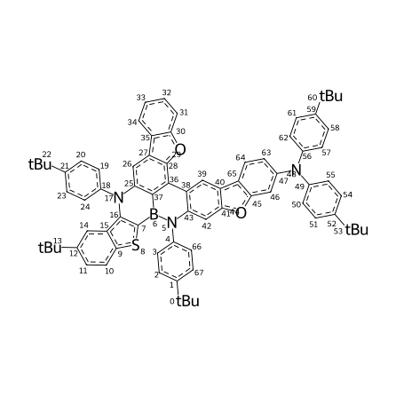 CC(C)(C)c1ccc(N2B3c4sc5ccc(C(C)(C)C)cc5c4N(c4ccc(C(C)(C)C)cc4)c4cc5c(oc6ccccc65)c(c43)-c3cc4c(cc32)oc2cc(N(c3ccc(C(C)(C)C)cc3)c3ccc(C(C)(C)C)cc3)ccc24)cc1